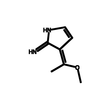 CO/C(C)=C1\C=CNC1=N